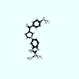 CN(C)c1nc2ccc(N3CCC(C(=O)c4ccc(OC(F)(F)F)cc4)C3)cc2[nH]1